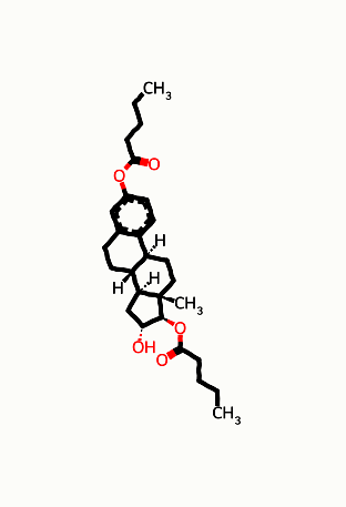 CCCCC(=O)Oc1ccc2c(c1)CC[C@@H]1[C@@H]2CC[C@@]2(C)[C@H]1C[C@@H](O)[C@@H]2OC(=O)CCCC